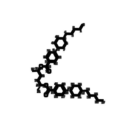 CCCCC[C@H]1CC[C@H](c2ccc(C(=O)O[C@H](C)CC[C@@H](C)OC(=O)c3ccc([C@H]4CC[C@H](CCCCC)CC4)cc3)cc2)CC1